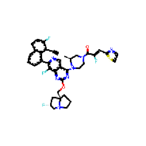 C#Cc1c(F)ccc2cccc(-c3ncc4c(N5CCN(C(=O)/C(F)=C/c6nccs6)C[C@@H]5C)nc(OC[C@@]56CCCN5C[C@H](F)C6)nc4c3F)c12